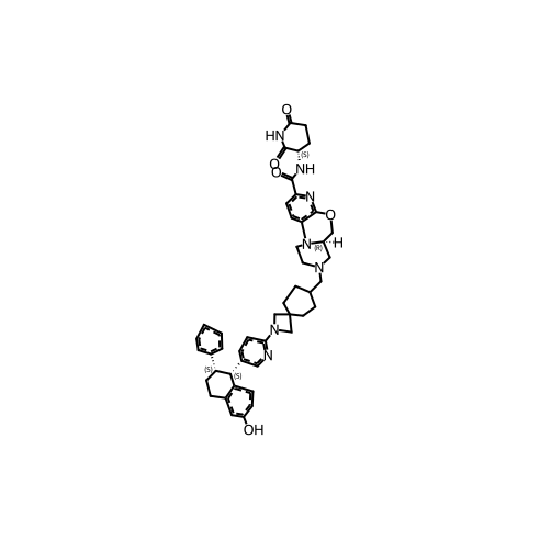 O=C1CC[C@H](NC(=O)c2ccc3c(n2)OC[C@H]2CN(CC4CCC5(CC4)CN(c4ccc([C@@H]6c7ccc(O)cc7CC[C@@H]6c6ccccc6)cn4)C5)CCN32)C(=O)N1